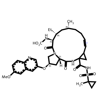 CC[C@@H]1C[C@H](C)CC/C=C\C2CC2(C(=O)NS(=O)(=O)C2(C)CC2)NC(=O)[C@@H]2C[C@@H](Oc3cnc4ccc(OC)cc4c3)CN2C(=O)[C@H]1NC(=O)O